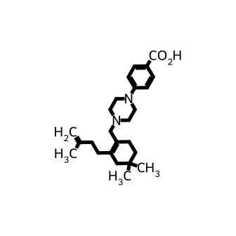 C=C(C)CCC1=C(CN2CCN(c3ccc(C(=O)O)cc3)CC2)CCC(C)(C)C1